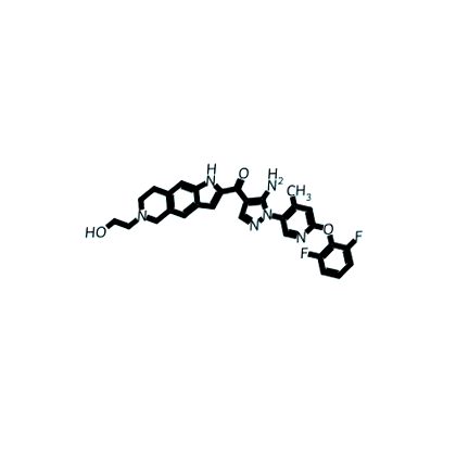 Cc1cc(Oc2c(F)cccc2F)ncc1-n1ncc(C(=O)c2cc3cc4c(cc3[nH]2)CCN(CCO)C4)c1N